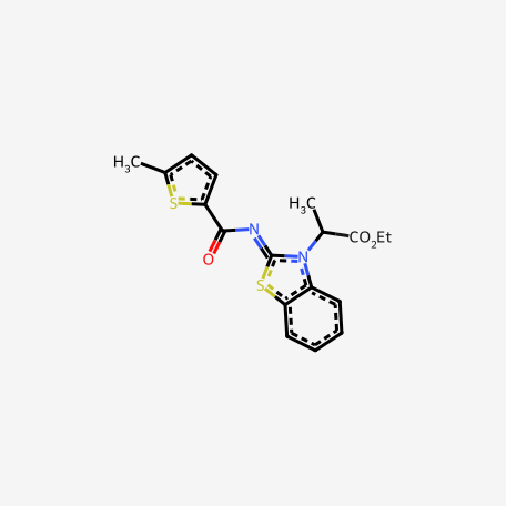 CCOC(=O)C(C)n1c(=NC(=O)c2ccc(C)s2)sc2ccccc21